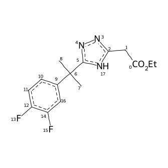 CCOC(=O)Cc1nnc(C(C)(C)c2ccc(F)c(F)c2)[nH]1